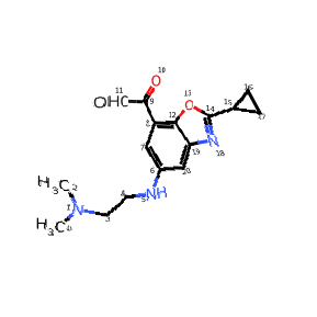 CN(C)CCNc1cc(C(=O)C=O)c2oc(C3CC3)nc2c1